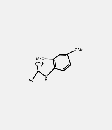 COc1ccc(NC(C(C)=O)C(=O)O)c(OC)c1